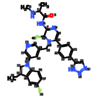 CNC(C)C(=O)NC1=NC=C(c2ccc(-c3cnn[nH]3)cc2)N(Cc2cncc(-n3cc(C)c4cc(F)ccc43)c2)[C@H]1F